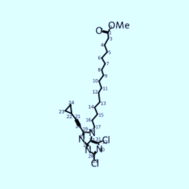 COC(=O)CCCCCCCCCCCCCCCn1c(C#CC2CC2)nc2nc(Cl)nc(Cl)c21